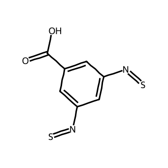 O=C(O)c1cc(N=S)cc(N=S)c1